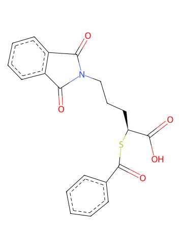 O=C(S[C@@H](CCCN1C(=O)c2ccccc2C1=O)C(=O)O)c1ccccc1